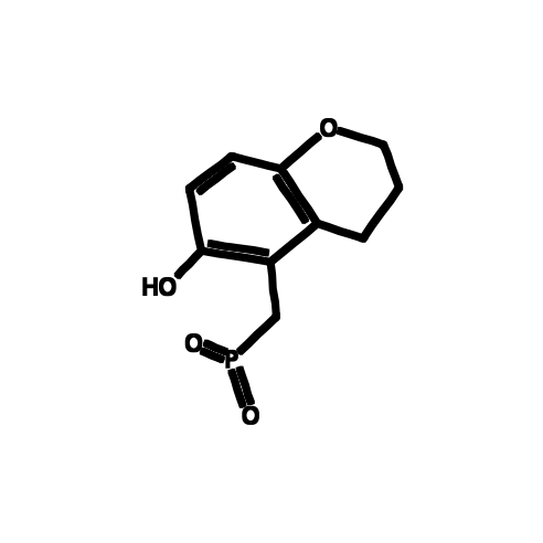 O=P(=O)Cc1c(O)ccc2c1CCCO2